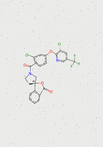 O=C1O[C@]2(CCN(C(=O)c3ccc(Oc4ncc(C(F)(F)F)cc4Cl)cc3Cl)C2)c2ccccc21